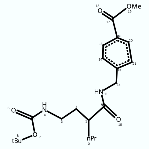 CCCC(CCNC(=O)OC(C)(C)C)C(=O)NCc1ccc(C(=O)OC)cc1